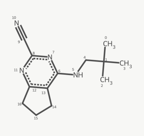 CC(C)(C)CNc1nc(C#N)nc2c1CCC2